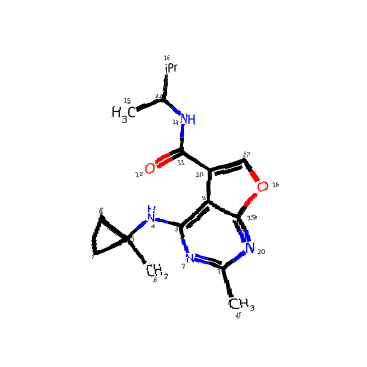 Cc1nc(NC2(C)CC2)c2c(C(=O)NC(C)C(C)C)coc2n1